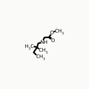 CCC(C)(C)CNCC(=O)OC